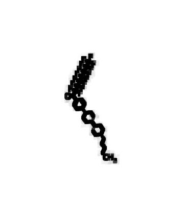 CCCCC[C@H]1CC[C@H]([C@H]2CC[C@H](c3ccc(C(=O)C(F)(F)C(F)(F)C(F)(F)C(F)(F)C(F)(F)C(F)(F)C(F)(F)F)cc3)CC2)CC1